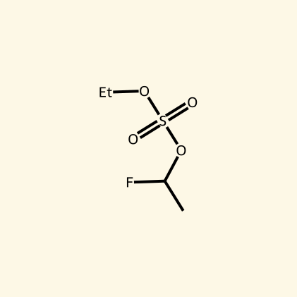 CCOS(=O)(=O)OC(C)F